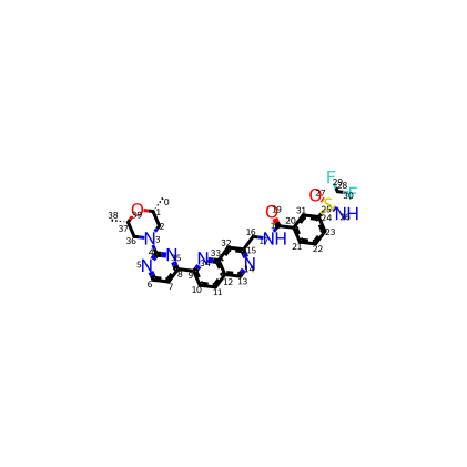 C[C@@H]1CN(c2nccc(-c3ccc4cnc(CNC(=O)c5cccc([S@@](=N)(=O)C(F)F)c5)cc4n3)n2)C[C@H](C)O1